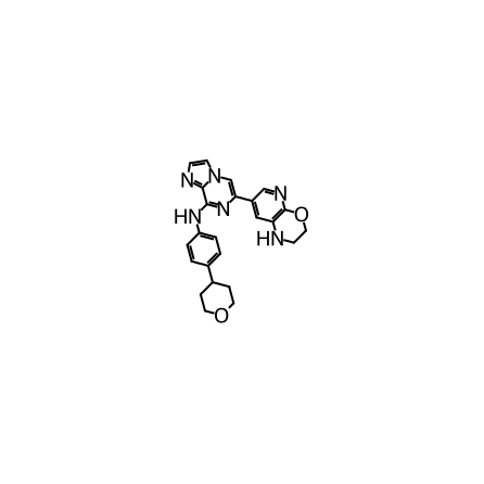 c1cn2cc(-c3cnc4c(c3)NCCO4)nc(Nc3ccc(C4CCOCC4)cc3)c2n1